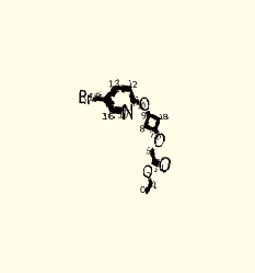 CCOC(=O)COC1CC(Oc2ccc(Br)cn2)C1